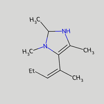 CC/C=C(/C)C1=C(C)NC(C)N1C